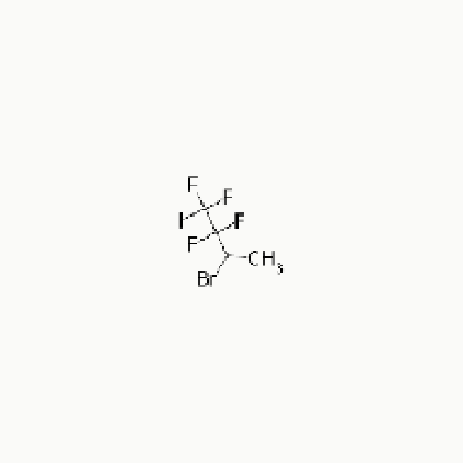 CC(Br)C(F)(F)C(F)(F)I